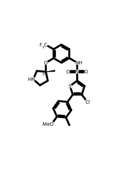 COc1ccc(-c2sc(S(=O)(=O)Nc3ccc(C(F)(F)F)c(O[C@]4(C)CCNC4)c3)cc2Cl)cc1C